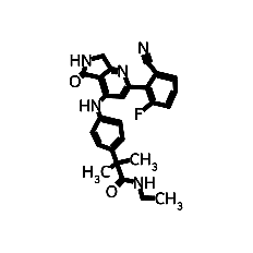 CCNC(=O)C(C)(C)c1ccc(Nc2cc(-c3c(F)cccc3C#N)nc3c2C(=O)NC3)cc1